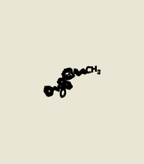 CCCCCN1CCCN(c2ccc3c4c(cccc24)C(=O)N3CCc2ccccc2)CC1